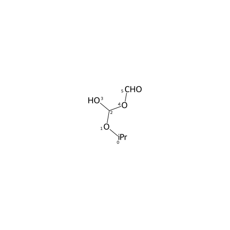 CC(C)OC(O)OC=O